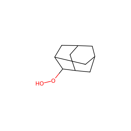 OOC1C2CC3CC(C2)CC1C3